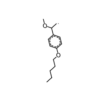 [CH2]C(OC)c1ccc(OCCCCC)cc1